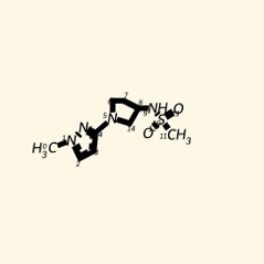 Cn1ccc(N2CCC(NS(C)(=O)=O)C2)n1